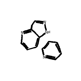 c1ccncc1.c1cnc2cn[nH]c2c1